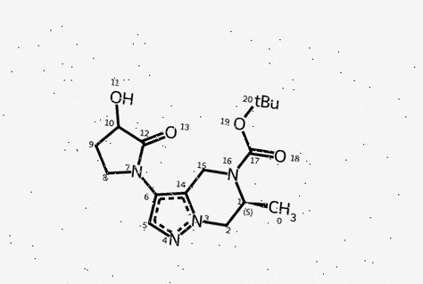 C[C@H]1Cn2ncc(N3CCC(O)C3=O)c2CN1C(=O)OC(C)(C)C